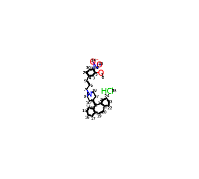 COc1cc(C=CCN2CCC(=C3c4ccccc4C=Cc4ccccc43)CC2)ccc1[N+](=O)[O-].Cl